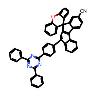 N#Cc1ccc2c(c1)C1(c3ccccc3Oc3ccccc31)c1cc(-c3ccc(-c4nc(-c5ccccc5)nc(-c5ccccc5)n4)cc3)c3ccccc3c1-2